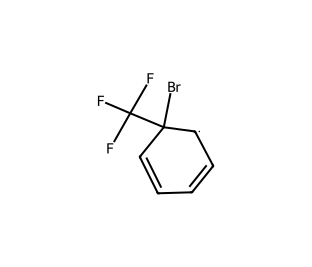 FC(F)(F)C1(Br)[CH]C=CC=C1